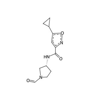 O=CN1CC[C@@H](NC(=O)c2cc(C3CC3)on2)C1